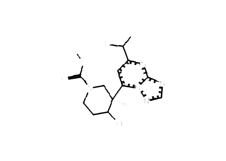 CC1CCN(C(=O)OC(C)(C)C)C[C@@]1(F)c1cc(C(F)F)nc2ncnn12